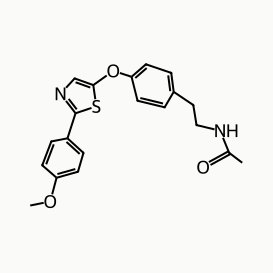 COc1ccc(-c2ncc(Oc3ccc(CCNC(C)=O)cc3)s2)cc1